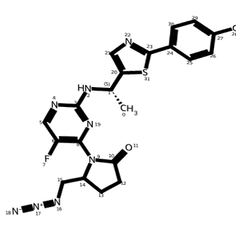 C[C@H](Nc1ncc(F)c(N2C(=O)CCC2CN=[N+]=[N-])n1)c1cnc(-c2ccc(Cl)cc2)s1